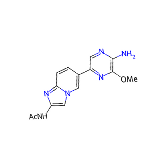 COc1nc(-c2ccc3nc(NC(C)=O)cn3c2)cnc1N